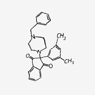 Cc1cc(C)cc(C2(N3CCN(Cc4ccccc4)CC3)C(=O)c3ccccc3C2=O)c1